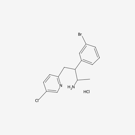 CC(N)C(Cc1ccc(Cl)cn1)c1cccc(Br)c1.Cl